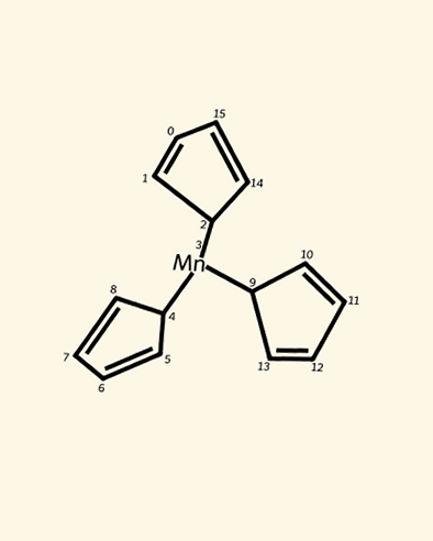 C1=C[CH]([Mn]([CH]2C=CC=C2)[CH]2C=CC=C2)C=C1